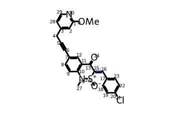 COc1cc(CC#Cc2ccc3c(c2)C(=O)/C(=C/c2ccc(Cl)cc2)[S+]([O-])N3C)ccn1